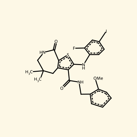 COc1ccccc1CNC(=O)c1c(Nc2ccc(I)cc2F)sc2c1CC(C)(C)CNC2=O